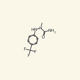 CN(Nc1ccc(C(F)(F)F)cc1)C(N)=O